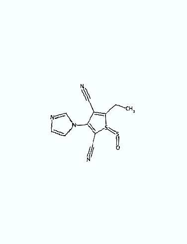 CCC1=C(C#N)C(n2ccnc2)=C(C#N)S1=S=O